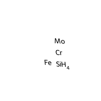 [Cr].[Fe].[Mo].[SiH4]